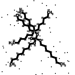 CCCCCCCCOP(=O)(OCCCCCCCC)OP(CCCCCC)(CCCCCC)(CCCCCC)CCCCCC